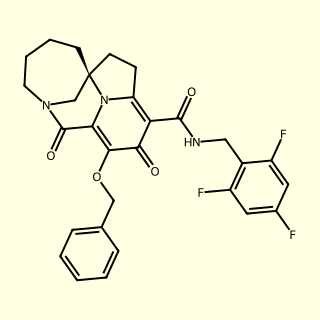 O=C(NCc1c(F)cc(F)cc1F)c1c2n3c(c(OCc4ccccc4)c1=O)C(=O)N1CCCC[C@]3(CC2)C1